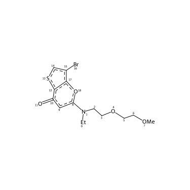 CCN(CCOCCOC)c1cc(=O)c2scc(Br)c2o1